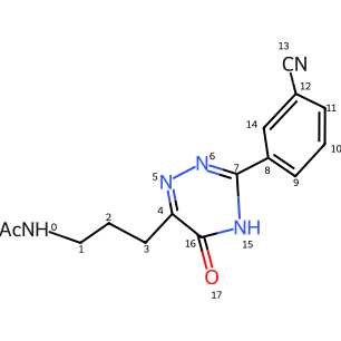 CC(=O)NCCCc1nnc(-c2cccc(C#N)c2)[nH]c1=O